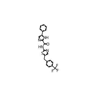 O=C(Nc1ncc(Cc2ccc(C(F)(F)F)cc2)s1)c1ncc(-c2ccccc2)[nH]1